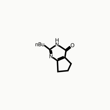 CCCCc1nc2c(c(=O)[nH]1)CCC2